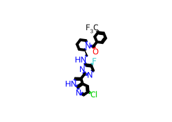 O=C(C1C=CC=C(C(F)(F)F)C1)N1CCCC[C@@H]1CNc1nc(-c2c[nH]c3ncc(Cl)cc23)ncc1F